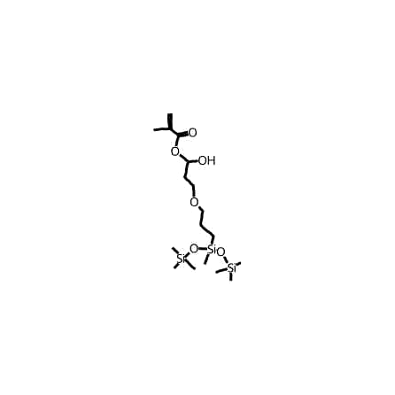 C=C(C)C(=O)OC(O)CCOCCC[Si](C)(O[Si](C)(C)C)O[Si](C)(C)C